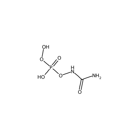 NC(=O)NOP(=O)(O)OO